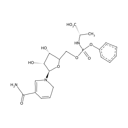 C[C@H](NP(=O)(OCC1O[C@@H](N2C=C(C(N)=O)C=CC2)[C@H](O)[C@@H]1O)Oc1ccccc1)C(=O)O